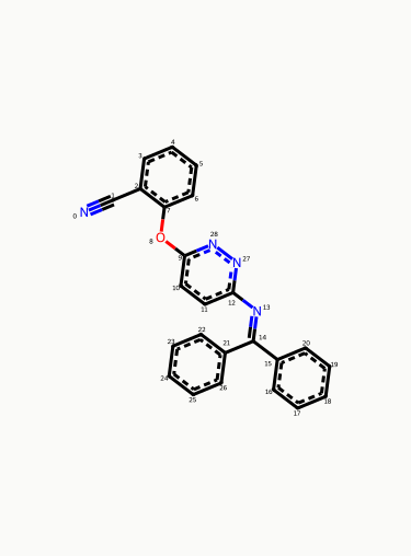 N#Cc1ccccc1Oc1ccc(N=C(c2ccccc2)c2ccccc2)nn1